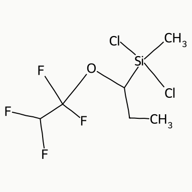 CCC(OC(F)(F)C(F)F)[Si](C)(Cl)Cl